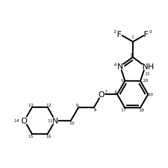 FC(F)c1nc2c(OCCCN3CCOCC3)cccc2[nH]1